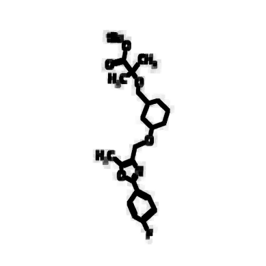 Cc1oc(-c2ccc(F)cc2)nc1COC1CCCC(COC(C)(C)C(=O)OC(C)(C)C)C1